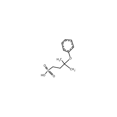 [CH2]C(C)(CCS(=O)(=O)O)Oc1ccccc1